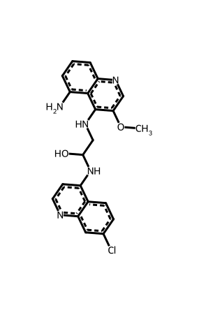 COc1cnc2cccc(N)c2c1NCC(O)Nc1ccnc2cc(Cl)ccc12